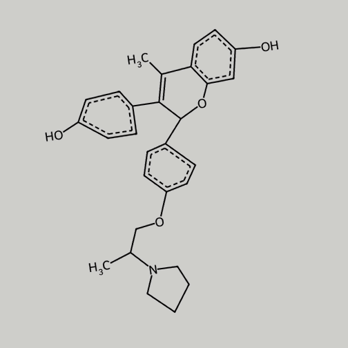 CC1=C(c2ccc(O)cc2)C(c2ccc(OCC(C)N3CCCC3)cc2)Oc2cc(O)ccc21